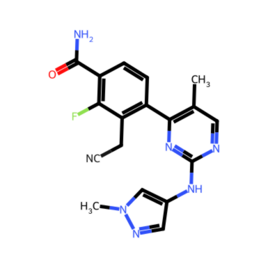 Cc1cnc(Nc2cnn(C)c2)nc1-c1ccc(C(N)=O)c(F)c1CC#N